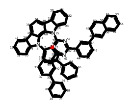 c1ccc(-c2ccc(-n3c4ccccc4c4ccc5c6ccccc6n(-c6nc(-c7cccc(-c8ccccc8)c7)nc(-c7cccc(-c8ccc9ccccc9c8)c7)n6)c5c43)cc2)cc1